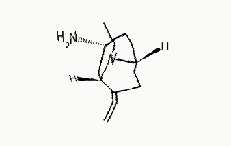 C=C1C[C@H]2C[C@@H](N)[C@@H]1N2C